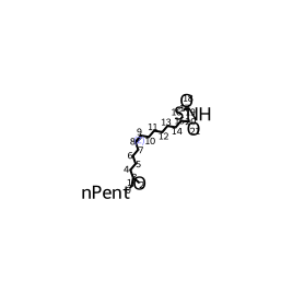 CCCCCC1OC1CCCC/C=C\CCCCCC1SC(=O)NC1=O